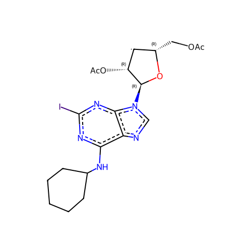 CC(=O)OC[C@H]1[CH][C@@H](OC(C)=O)[C@H](n2cnc3c(NC4CCCCC4)nc(I)nc32)O1